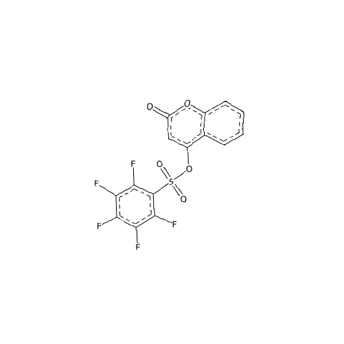 O=c1cc(OS(=O)(=O)c2c(F)c(F)c(F)c(F)c2F)c2ccccc2o1